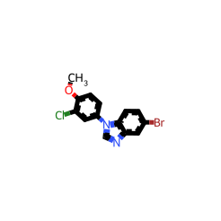 COc1ccc(-n2cnc3cc(Br)ccc32)cc1Cl